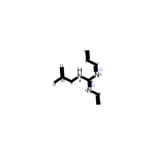 C=C/C=N\C(=N/C=C)NCC(=C)C